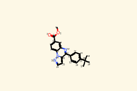 COC(=O)c1ccc2c(c1)nc(-c1ccc(C(C)(C)C)cc1)c1ccnn12